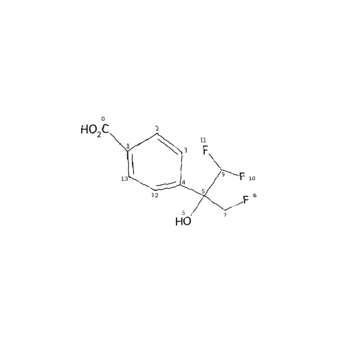 O=C(O)c1ccc(C(O)(CF)C(F)F)cc1